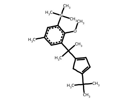 COc1c(C(C)(C)C2=CC=C(C(C)(C)C)C2)cc(C)cc1[Si](C)(C)C